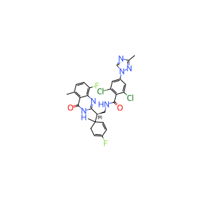 Cc1ncn(-c2cc(Cl)c(C(=O)NC[C@H](c3nc4c(F)ccc(C)c4c(=O)[nH]3)C3(C)C=CC(F)=CC3)c(Cl)c2)n1